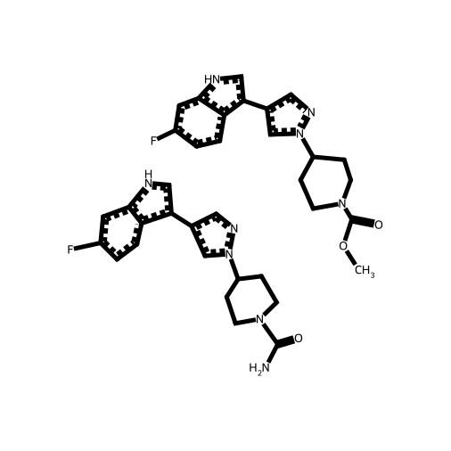 COC(=O)N1CCC(n2cc(-c3c[nH]c4cc(F)ccc34)cn2)CC1.NC(=O)N1CCC(n2cc(-c3c[nH]c4cc(F)ccc34)cn2)CC1